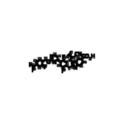 N#CCC1(Cn2c(Cc3cc(F)c(-c4ccnc(OCc5ccc(C(F)F)cc5F)n4)cc3F)nc3ccc(C(=O)O)cc32)CC1